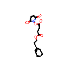 O=C(CCC(=O)ON1C(=O)CCC1=O)OCCC1=CC=CCC1